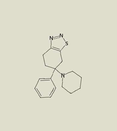 c1ccc(C2(N3CCCCC3)CCc3nnsc3C2)cc1